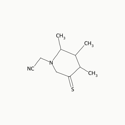 CC1C(=S)CN(CC#N)C(C)C1C